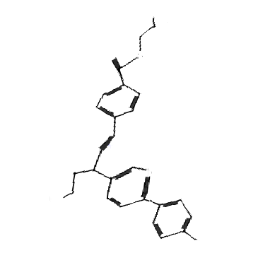 O=C(O)CCNC(=O)c1ccc(/C=C/C(CCC(F)(F)F)c2ccc(-c3ccc(C(F)(F)F)cc3)nc2)cc1